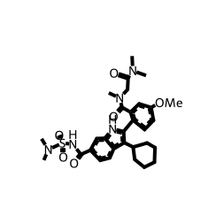 COc1ccc(-c2[nH]c3cc(C(=O)NS(=O)(=O)N(C)C)ccc3c2C2CCCCC2)c(C(=O)N(C)CC(=O)N(C)C)c1